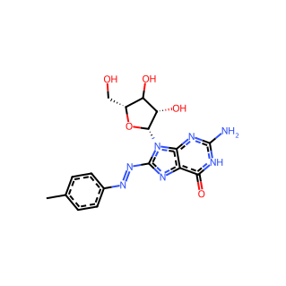 Cc1ccc(/N=N/c2nc3c(=O)[nH]c(N)nc3n2[C@@H]2O[C@H](CO)C(O)[C@@H]2O)cc1